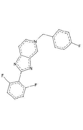 Fc1ccc(Cn2ccc3nc(-c4c(F)cccc4F)nc-3c2)cc1